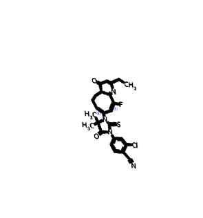 CCC1=CC(=O)C2CC/C=C(N3C(=S)N(c4ccc(C#N)c(Cl)c4)C(=O)C3(C)C)\C=C(\F)C2=N1